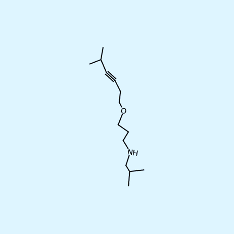 CC(C)C#CCCOCCCNCC(C)C